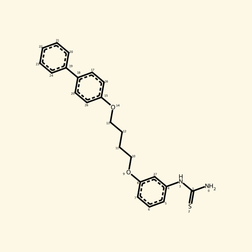 NC(=S)Nc1cccc(OCCCCOc2ccc(-c3ccccc3)cc2)c1